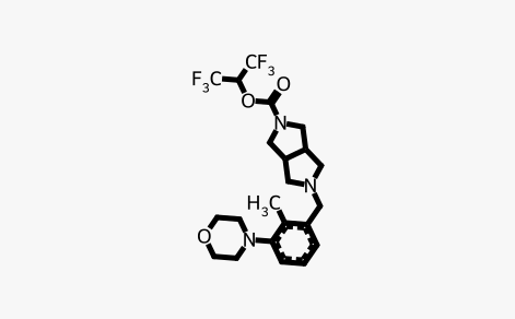 Cc1c(CN2CC3CN(C(=O)OC(C(F)(F)F)C(F)(F)F)CC3C2)cccc1N1CCOCC1